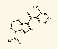 Cc1ccccc1C(=O)c1ccc2n1CCCC2C(=O)O